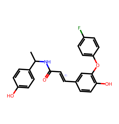 CC(NC(=O)/C=C/c1ccc(O)c(Oc2ccc(F)cc2)c1)c1ccc(O)cc1